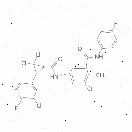 Cc1c(Cl)cc(NC(=O)C2C(c3ccc(F)c(Cl)c3)C2(Cl)Cl)cc1C(=O)Nc1ccc(F)cc1